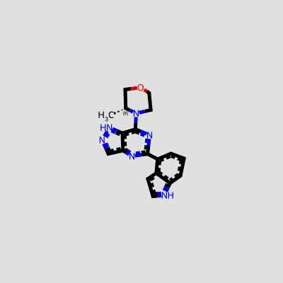 C[C@@H]1COCCN1c1nc(-c2cccc3[nH]ccc23)nc2cn[nH]c12